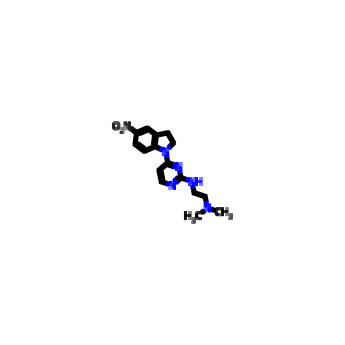 CN(C)CCNc1nccc(N2CCc3cc([N+](=O)[O-])ccc32)n1